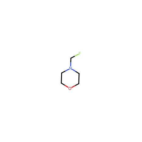 FCN1CCOCC1